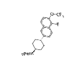 CCCCC[C@H]1CC[C@H](c2ccc3c(F)c(OC(F)(F)F)ccc3c2)CC1